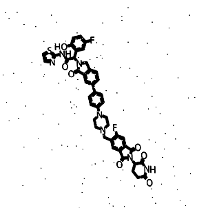 O=C1CCC(N2C(=O)c3cc(F)c(CN4CCN(c5ccc(-c6ccc7c(c6)C(=O)N(C(C(=O)Nc6nccs6)c6cc(F)ccc6O)C7)cc5)CC4)cc3C2=O)C(=O)N1